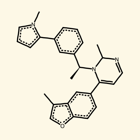 Cc1coc2ccc(C3=CC=NC(C)N3[C@@H](C)c3cccc(-c4cccn4C)c3)cc12